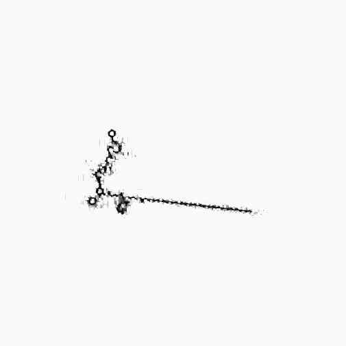 CC[C@H](C)[C@@H]([C@@H](CC(=O)N1CCC[C@H]1[C@H](OC)[C@@H](C)C(=O)N[C@H](C)[C@@H](O)c1ccccc1)OC)N(C)C(=O)[C@@H](NC(=O)[C@H](C(C)C)N(C)C(=O)OCc1ccc(O[C@@H]2O[C@H](C(=O)O)[C@@H](O)[C@H](O)[C@H]2O)c(NC(=O)CCNC(=O)[C@H](CCCCNC(=O)CCOCCOCCOCCOCCOCCOCCOCCOCCOCCOCCOCCOC)NC(=O)[C@H](C)N2C(=O)C=CC2=O)c1)C(C)C